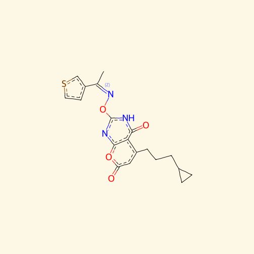 C/C(=N/Oc1nc2oc(=O)cc(CCCC3CC3)c2c(=O)[nH]1)c1ccsc1